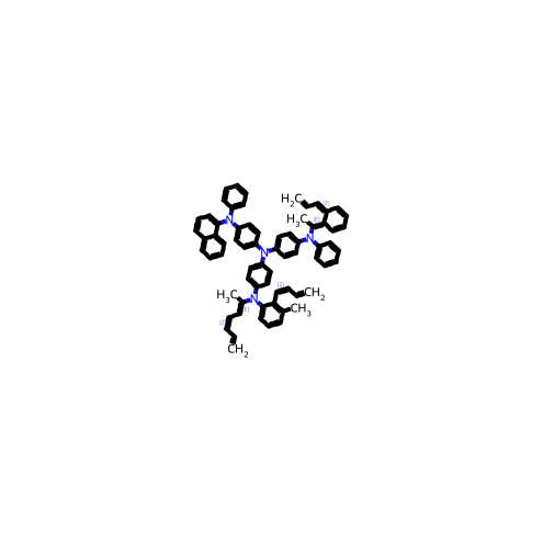 C=C/C=C\C=C(/C)N(c1ccc(N(c2ccc(N(/C(C)=c3\cccc\c3=C\C=C)c3ccccc3)cc2)c2ccc(N(c3ccccc3)c3cccc4ccccc34)cc2)cc1)c1cccc(C)c1/C=C\C=C